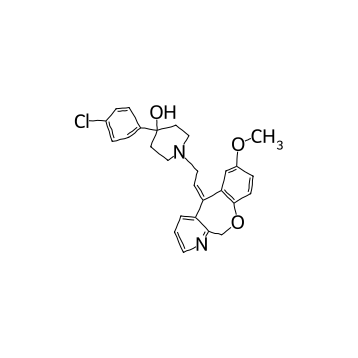 COc1ccc2c(c1)C(=CCN1CCC(O)(c3ccc(Cl)cc3)CC1)c1cccnc1CO2